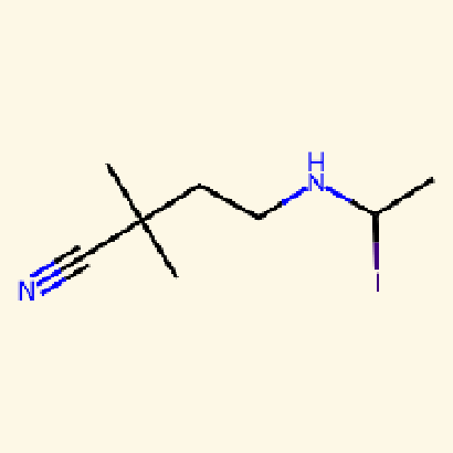 CC(I)NCCC(C)(C)C#N